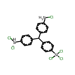 Cl[SiH2]c1ccc(C(c2ccc([SiH](Cl)Cl)cc2)c2ccc([Si](Cl)(Cl)Cl)cc2)cc1